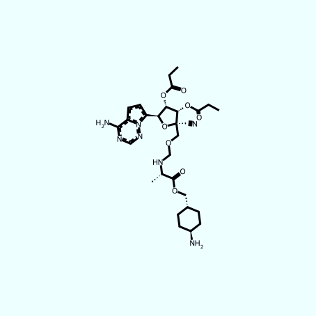 CCC(=O)O[C@H]1[C@H](c2ccc3c(N)ncnn23)O[C@](C#N)(COCN[C@@H](C)C(=O)OC[C@H]2CC[C@H](N)CC2)[C@H]1OC(=O)CC